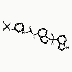 [2H]C([2H])(c1ccnc2[nH]ccc12)n1ccc2c(NC(=O)Nc3cccc(OC(F)(F)F)c3)cccc21